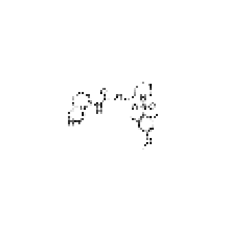 COc1cc(C)c(S(=O)(=O)N2CCCCC2COCC(=O)Nc2cccc3cnccc23)c(C)c1